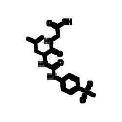 CC(C)C[C@H](NC(=O)Nc1ccc(S(C)(=O)=O)cc1)C(=O)NCC(=O)O